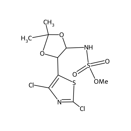 COS(=O)(=O)NC1OC(C)(C)OC1c1sc(Cl)nc1Cl